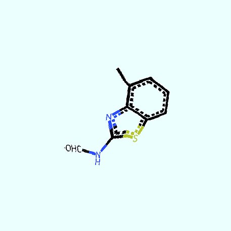 Cc1cccc2sc(N[C]=O)nc12